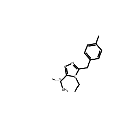 CCn1c(Cc2ccc(C)cc2)nnc1[C@@H](C)N